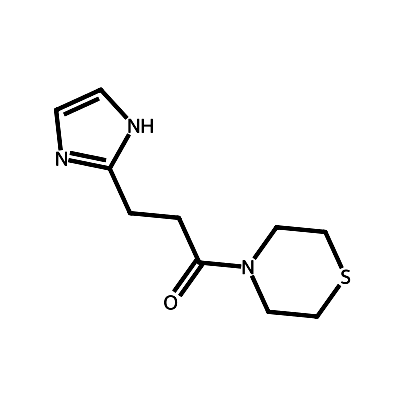 O=C(CCc1ncc[nH]1)N1CCSCC1